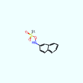 CCS(=O)(=O)ONc1ccc2ccccc2c1